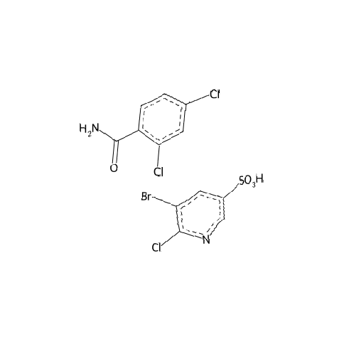 NC(=O)c1ccc(Cl)cc1Cl.O=S(=O)(O)c1cnc(Cl)c(Br)c1